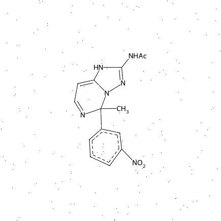 CC(=O)NC1=NN2C(=CC=NC2(C)c2cccc([N+](=O)[O-])c2)N1